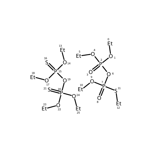 CCOP(=O)(OCC)OP(=O)(OCC)SCC.CCOP(=S)(OCC)OP(=S)(OCC)OCC